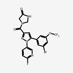 O=C1CN(C(=O)c2cc(-c3cc(Br)cc(OC(F)(F)F)c3)n(-c3ccc(F)nc3)n2)CN1